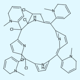 CN1CC=CC=C1C1=C2[CH]C(Cl)C(Cl)(N2)C(Cl)(C2=CC=CCN2C)C2=NC(Cl)(C=C2)C(Cl)(C2=CC=CCN2C)c2ccc([nH]2)C(C2=CC=CCN2C)=C2C=CC1=N2